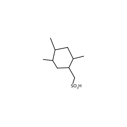 CC1CC(C)C(CS(=O)(=O)O)CC1C